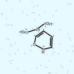 C1=CNOC=C1.CCCCCCC[CH2][Zn][CH2]CCCCCCC